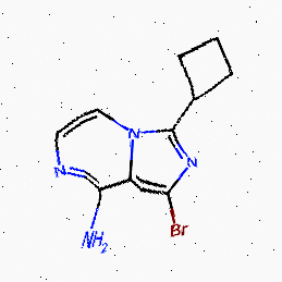 Nc1nccn2c(C3CCC3)nc(Br)c12